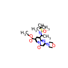 CCOC(=O)c1cc(/C(C)=N/[S+]([O-])C(C)(C)C)c2nc(N3CCOCC3)cc(=O)n2c1